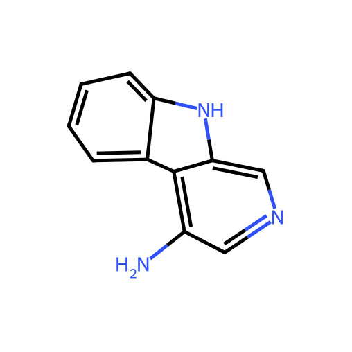 Nc1cncc2[nH]c3ccccc3c12